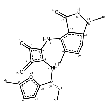 CC[C@@H](Nc1c(Nc2c(F)ccc3c2C(=O)N[C@@H]3C)c(=O)c1=O)c1ccc(C)o1